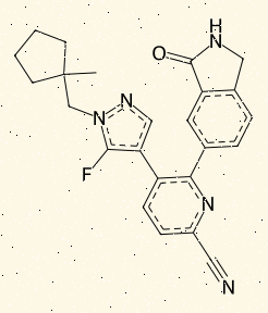 CC1(Cn2ncc(-c3ccc(C#N)nc3-c3ccc4c(c3)C(=O)NC4)c2F)CCCC1